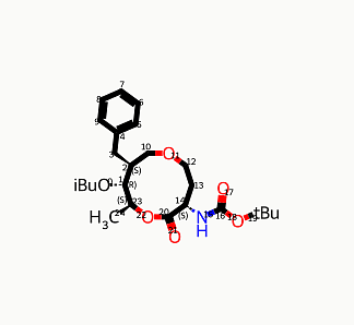 CC(C)CO[C@@H]1[C@@H](Cc2ccccc2)COCC[C@H](NC(=O)OC(C)(C)C)C(=O)O[C@H]1C